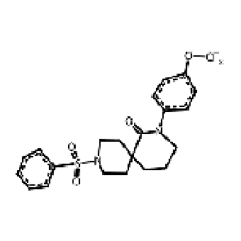 O=C1N(c2ccc(OC(F)(F)F)cc2)CCCC12CCN(S(=O)(=O)c1ccccc1)CC2